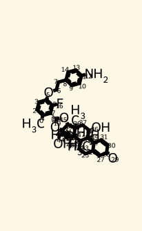 Cc1ccc(OCCc2ccc(N)cc2)c(F)c1[C@H]1O[C@@H]2C[C@H]3[C@@H]4CCC5=CC(=O)C=C[C@]5(C)[C@H]4[C@@H](O)C[C@]3(C)[C@]2(C(=O)CO)O1